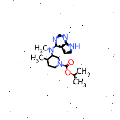 CC(C)OC(=O)N1CCC(C)C(N(C)c2ncnc3[nH]ccc23)C1